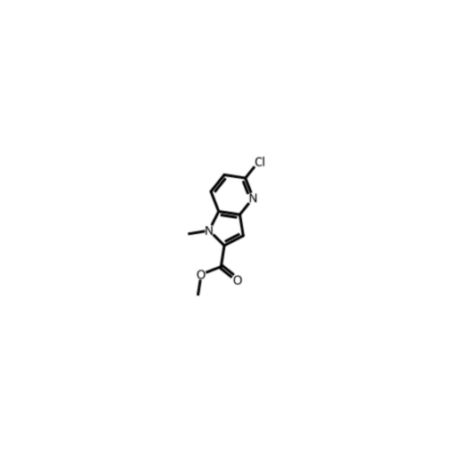 COC(=O)c1cc2nc(Cl)ccc2n1C